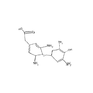 NC1=CC(OC2C(N)=CC(CC(=O)O)=CC2N)CC(N)=C1O